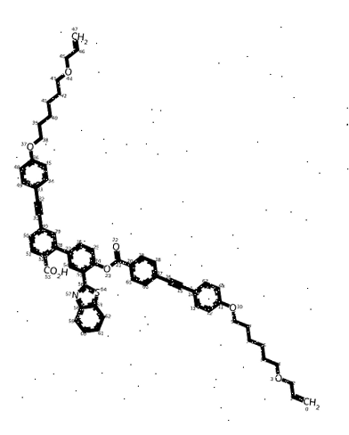 C=CCOCCCCCCOc1ccc(C#Cc2ccc(C(=O)Oc3ccc(-c4cc(C#Cc5ccc(OCCCCCCOCC=C)cc5)ccc4C(=O)O)cc3-c3nc4ccccc4s3)cc2)cc1